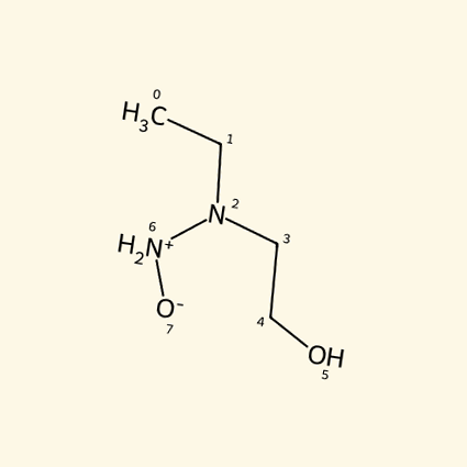 CCN(CCO)[NH2+][O-]